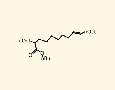 CCCCCCCCC=CCCCCCCC(CCCCCCCC)C(=O)OCCCC